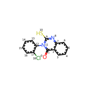 O=c1c2ccccc2nc(S)n1-c1ccccc1Cl